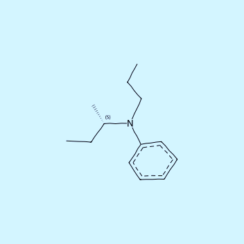 CCCN(c1ccccc1)[C@@H](C)CC